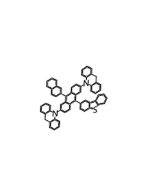 c1ccc2c(c1)Cc1ccccc1N2c1ccc2c(-c3ccc4sc5ccccc5c4c3)c3cc(N4c5ccccc5Cc5ccccc54)ccc3c(-c3ccc4ccccc4c3)c2c1